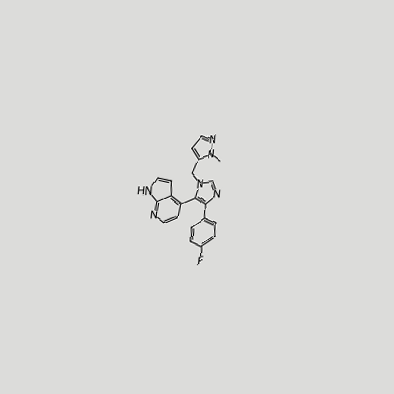 Cn1nccc1Cn1cnc(-c2ccc(F)cc2)c1-c1ccnc2[nH]ccc12